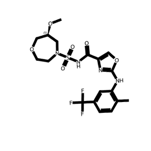 CO[C@@H]1COCCN(S(=O)(=O)NC(=O)c2coc(Nc3cc(C(F)(F)F)ccc3C)n2)C1